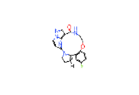 O=C1NCCOc2ccc(F)cc2[C@@]23C[C@@H]2CCN3c2ccn3ncc1c3n2